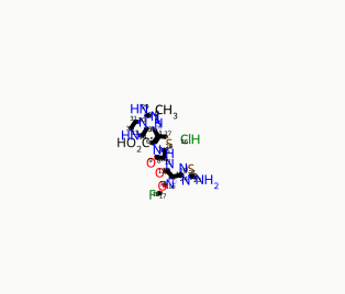 CN(/N=C/C1=C(C(=O)O)N2C(=O)C(NC(=O)/C(=N\OCF)c3nsc(N)n3)C2SC1)C(=N)N1CCNCC1.Cl